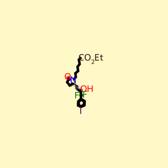 CCOC(=O)CCCCCCN1C(=O)CC[C@@H]1/C=C/[C@@H](O)C(F)(F)c1ccc(I)cc1